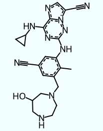 Cc1c(CN2CCNCC(O)C2)cc(C#N)cc1Nc1nc(NC2CC2)c2ncc(C#N)n2n1